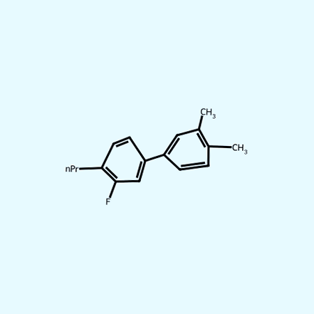 CCCc1ccc(-c2ccc(C)c(C)c2)cc1F